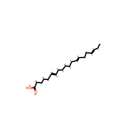 CCC=CCCC=CCCCCCC=CCCCCC(=O)O